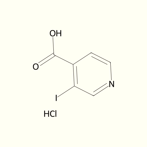 Cl.O=C(O)c1ccncc1I